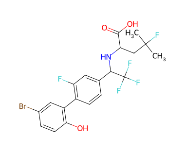 CC(C)(F)CC(NC(c1ccc(-c2cc(Br)ccc2O)c(F)c1)C(F)(F)F)C(=O)O